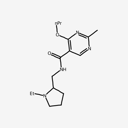 CCCOc1nc(C)ncc1C(=O)NCC1CCCN1CC